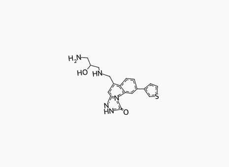 NCC(O)CNCc1cc2n[nH]c(=O)n2c2cc(-c3ccsc3)ccc12